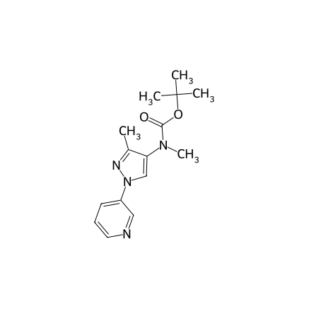 Cc1nn(-c2cccnc2)cc1N(C)C(=O)OC(C)(C)C